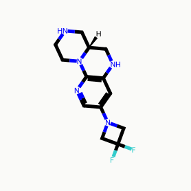 FC1(F)CN(c2cnc3c(c2)NC[C@H]2CNCCN32)C1